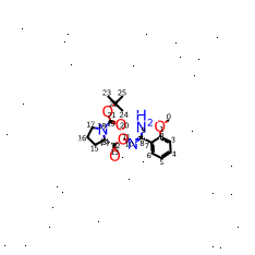 COc1ccccc1C(N)=NOC(=O)[C@@H]1CCCN1C(=O)OC(C)(C)C